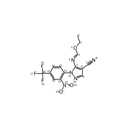 CCOC=Nc1c(C#N)cnn1-c1ccc(C(F)(F)F)cc1[N+](=O)[O-]